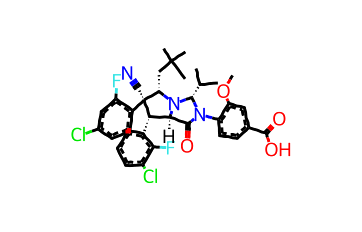 COc1cc(C(=O)O)ccc1N1C(=O)[C@H]2[C@H](c3cccc(Cl)c3F)[C@@](C#N)(c3ccc(Cl)cc3F)[C@H](CC(C)(C)C)N2[C@@H]1C(C)C